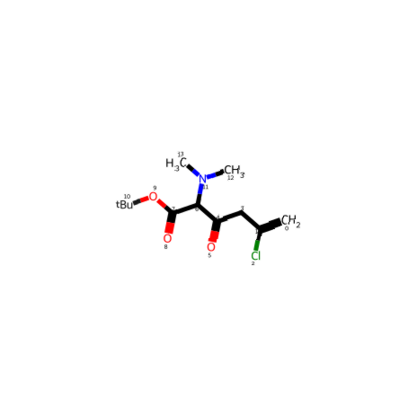 C=C(Cl)CC(=O)C(C(=O)OC(C)(C)C)N(C)C